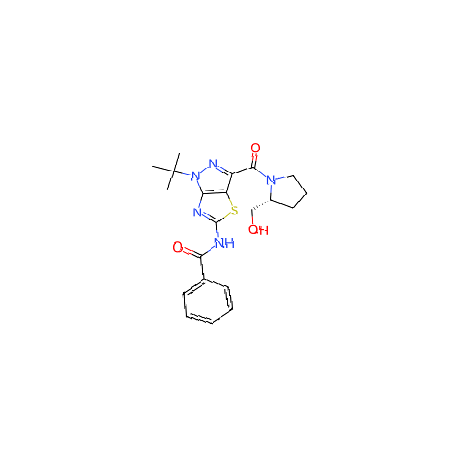 CC(C)(C)n1nc(C(=O)N2CCC[C@@H]2CO)c2sc(NC(=O)c3ccccc3)nc21